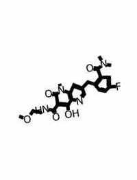 COCCNC(=O)c1c(O)c2ncc(Cc3ccc(F)cc3C(=O)N(C)C)cc2n(C)c1=O